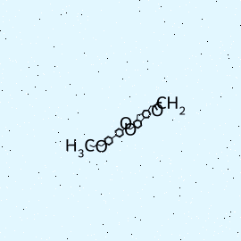 C=CC(=O)Cc1ccc2c(c1)Cc1cc(OC(=O)c3ccc(-c4ccc(OCCC)cc4)cc3)ccc1-2